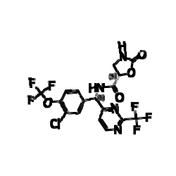 O=C1NC[C@@H](C(=O)N[C@@H](c2ccc(OC(F)(F)F)c(Cl)c2)c2ccnc(C(F)(F)F)n2)O1